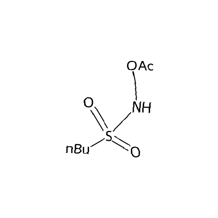 CCCCS(=O)(=O)NOC(C)=O